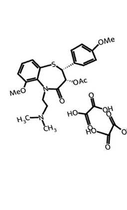 COc1ccc([C@H]2Sc3cccc(OC)c3N(CCN(C)C)C(=O)[C@H]2OC(C)=O)cc1.O=C(O)C(=O)O.O=C(O)C(=O)O